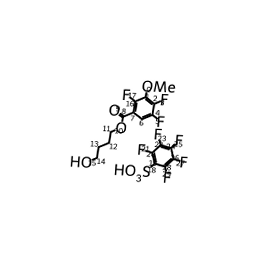 COc1c(F)c(F)cc(C(=O)OCCCCO)c1F.O=S(=O)(O)c1c(F)c(F)c(F)c(F)c1F